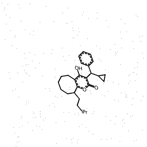 CC(C)CCC1CCCCCc2c1oc(=O)c(C(c1ccccc1)C1CC1)c2O